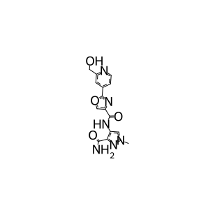 Cn1cc(NC(=O)c2coc(-c3ccnc(CO)c3)n2)c(C(N)=O)n1